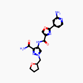 NC(=O)c1nn(CC2CCCO2)cc1NC(=O)c1coc(-c2ccnc(N)c2)n1